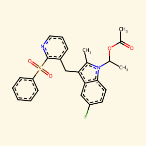 CC(=O)OC(C)n1c(C)c(Cc2cccnc2S(=O)(=O)c2ccccc2)c2cc(F)ccc21